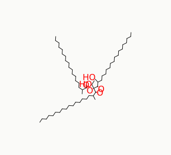 CCCCCCCCCCCCCCCCC(C)C(=O)OC(C(=O)C(C)CCCCCCCCCCCCCCCC)(C(=O)C(C)CCCCCCCCCCCCCCCC)C(O)CO